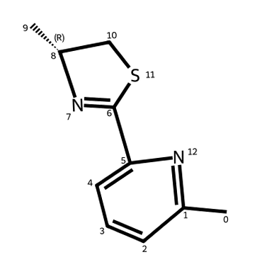 Cc1cccc(C2=N[C@H](C)CS2)n1